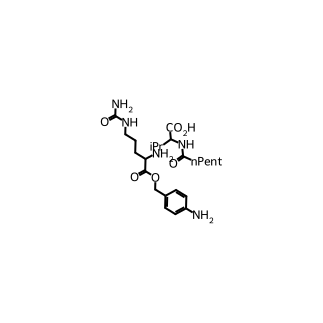 CCCCCC(=O)NC(C(=O)O)C(C)C.NC(=O)NCCCC(N)C(=O)OCc1ccc(N)cc1